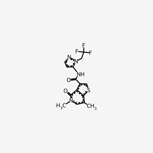 Cc1cn(C)c(=O)c2c(C(=O)Nc3ccnn3CC(F)(F)F)csc12